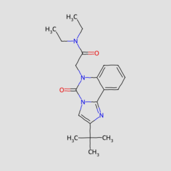 CCN(CC)C(=O)Cn1c(=O)n2cc(C(C)(C)C)nc2c2ccccc21